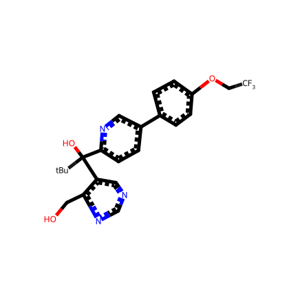 CC(C)(C)C(O)(c1ccc(-c2ccc(OCC(F)(F)F)cc2)cn1)c1cncnc1CO